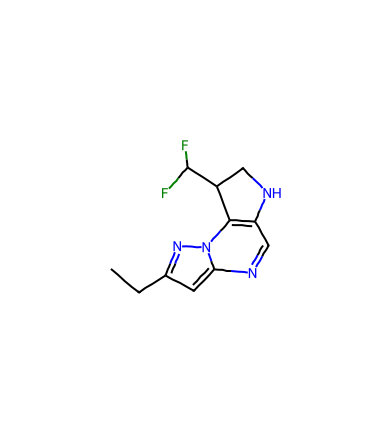 CCc1cc2ncc3c(n2n1)C(C(F)F)CN3